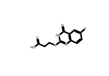 O=C(O)CCSc1nc2ccc(F)cc2c(=O)[nH]1